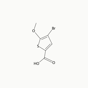 COc1sc(C(=O)O)cc1Br